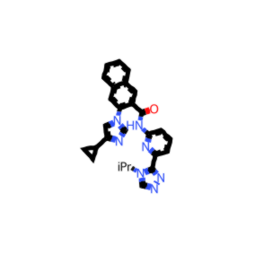 CC(C)n1cnnc1-c1cccc(NC(=O)c2cc3ccccc3cc2-n2cnc(C3CC3)c2)n1